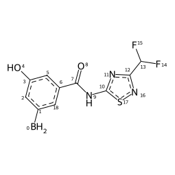 Bc1cc(O)cc(C(=O)Nc2nc(C(F)F)ns2)c1